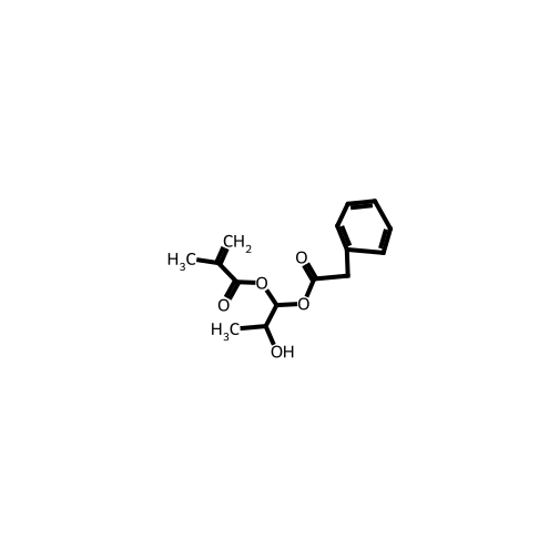 C=C(C)C(=O)OC(OC(=O)Cc1ccccc1)C(C)O